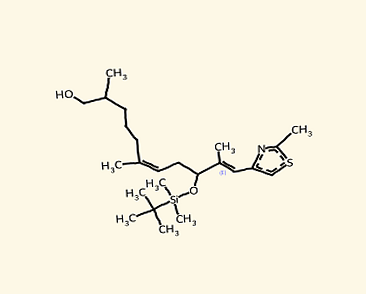 CC(=CCC(O[Si](C)(C)C(C)(C)C)/C(C)=C/c1csc(C)n1)CCCC(C)CO